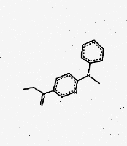 C=C(CC)c1ccc(N(C)c2ccccc2)nc1